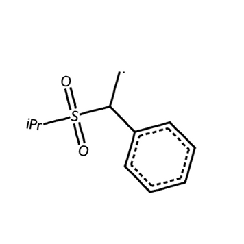 [CH2]C(c1ccccc1)S(=O)(=O)C(C)C